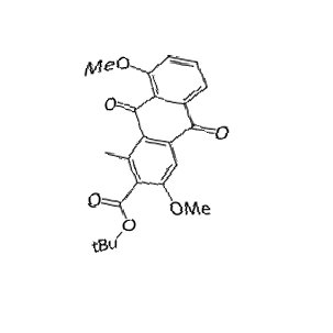 COc1cccc2c1C(=O)c1c(cc(OC)c(C(=O)OC(C)(C)C)c1C)C2=O